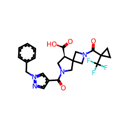 O=C(O)[C@@H]1CN(C(=O)c2cnn(Cc3ccccc3)c2)CC12CN(C(=O)C1(C(F)(F)F)CC1)C2